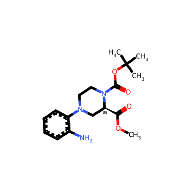 COC(=O)[C@H]1CN(c2ccccc2N)CCN1C(=O)OC(C)(C)C